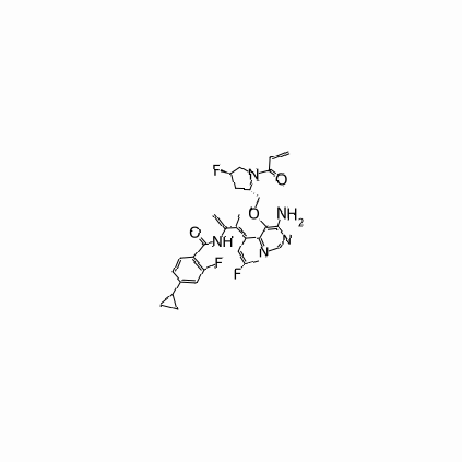 C=CC(=O)N1C[C@H](F)C[C@H]1COc1c(N)ncnc1C(/C=C(\C)F)=C(\C)C(=C)NC(=O)c1ccc(C2CC2)cc1F